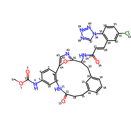 COC(=O)Nc1ccc2c(c1)NC(=O)CCc1cccc(c1)CC(NC(=O)/C=C/c1cc(Cl)ccc1-n1cnnn1)c1ncc-2o1